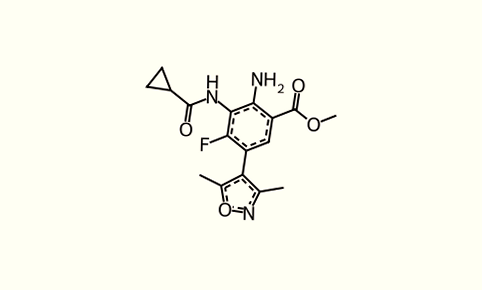 COC(=O)c1cc(-c2c(C)noc2C)c(F)c(NC(=O)C2CC2)c1N